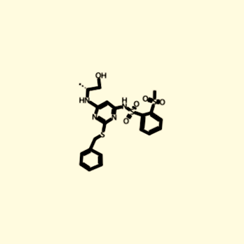 C[C@H](CO)Nc1cc(NS(=O)(=O)c2ccccc2S(C)(=O)=O)nc(SCc2ccccc2)n1